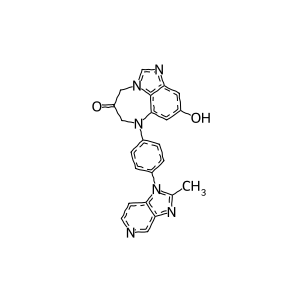 Cc1nc2cnccc2n1-c1ccc(N2CC(=O)Cn3cnc4cc(O)cc2c43)cc1